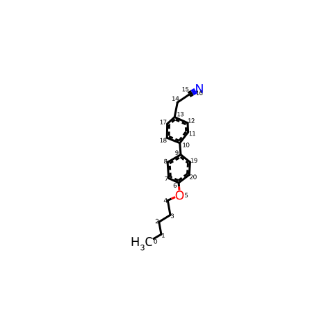 CCCCCOc1ccc(-c2ccc(CC#N)cc2)cc1